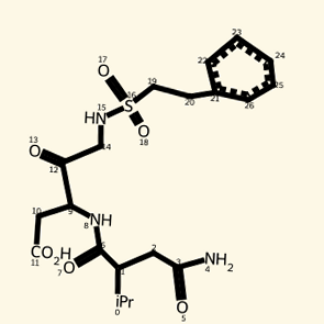 CC(C)C(CC(N)=O)C(=O)NC(CC(=O)O)C(=O)CNS(=O)(=O)CCc1ccccc1